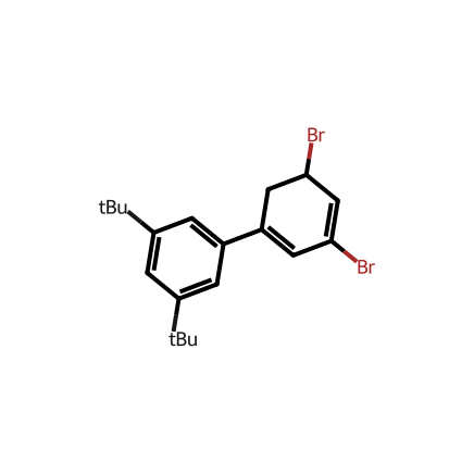 CC(C)(C)c1cc(C2=CC(Br)=CC(Br)C2)cc(C(C)(C)C)c1